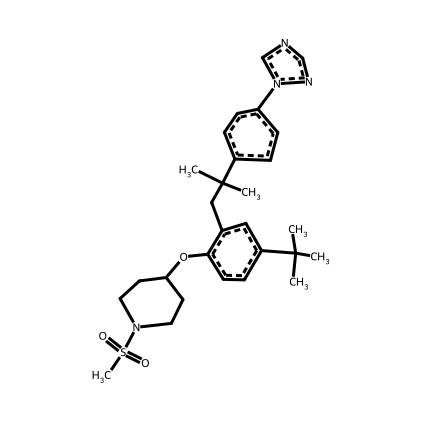 CC(C)(C)c1ccc(OC2CCN(S(C)(=O)=O)CC2)c(CC(C)(C)c2ccc(-n3cncn3)cc2)c1